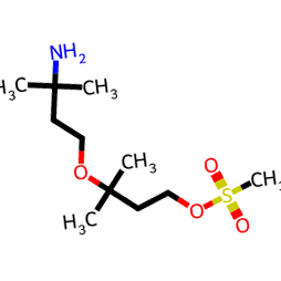 CC(C)(N)CCOC(C)(C)CCOS(C)(=O)=O